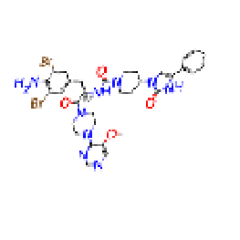 COc1cncnc1N1CCN(C(=O)[C@@H](Cc2cc(Br)c(N)c(Br)c2)NC(=O)N2CCC(n3cc(-c4ccccc4)[nH]c3=O)CC2)CC1